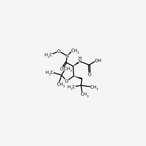 CON(C)C(=O)[C@@H](NC(=O)O)[C@@H](CC(C)(C)C)OC(C)(C)C